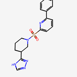 O=S(=O)(c1cccc(-c2ccccc2)n1)N1CCCC(c2nnc[nH]2)C1